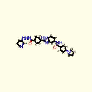 O=C(N=[N+]=Nc1cccnc1)c1ccc(-c2nc3cc(NC(=O)c4ccc(N5CCCC5)cc4)ccc3[nH]2)cc1